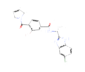 CCCC[C@H](NC(=O)c1ccc(C(=O)N2CC=CC2)c(Br)c1)c1nc2cc(Cl)ccc2[nH]1